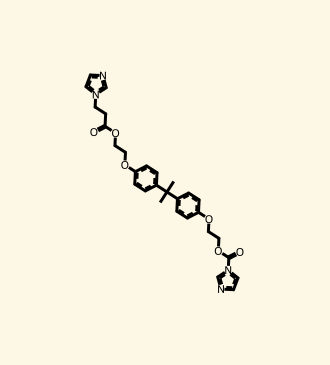 CC(C)(c1ccc(OCCOC(=O)CCn2ccnc2)cc1)c1ccc(OCCOC(=O)n2ccnc2)cc1